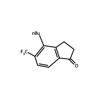 CCCCc1c(C(F)(F)F)ccc2c1CCC2=O